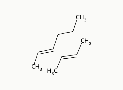 CC=CC.CC=CCCC